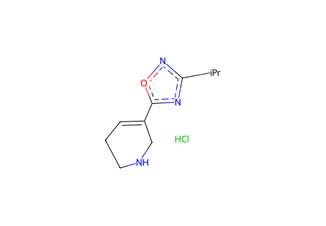 CC(C)c1noc(C2=CCCNC2)n1.Cl